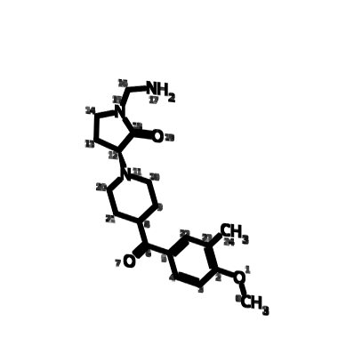 COc1ccc(C(=O)C2CCN([C@H]3CCN(CN)C3=O)CC2)cc1C